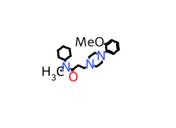 COc1ccccc1N1CCN(CCC(=O)N(C)C2CCCCC2)CC1